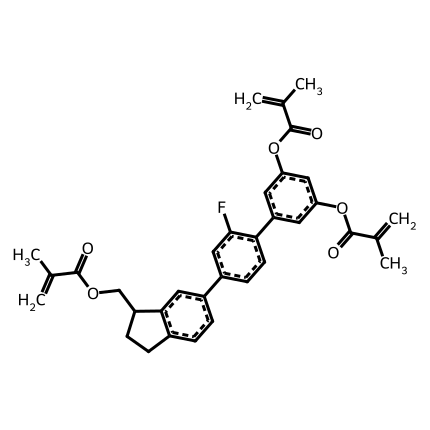 C=C(C)C(=O)OCC1CCc2ccc(-c3ccc(-c4cc(OC(=O)C(=C)C)cc(OC(=O)C(=C)C)c4)c(F)c3)cc21